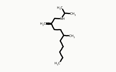 C=C(CCC(C)CCCCC)CNC(C)C